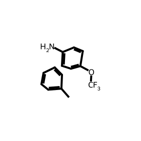 Cc1ccccc1.Nc1ccc(OC(F)(F)F)cc1